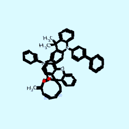 C=C1/C=C\C=C/CC2(c3ccccc3Oc3ccccc32)c2cc(N(c3ccccc3)c3ccc4c(c3)C(C)(C)c3ccccc3N4c3ccc(-c4ccccc4)cc3)ccc21